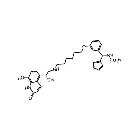 O=C(O)NC(c1ccsc1)c1cccc(OCCCCCCNC[C@H](O)c2ccc(O)c3[nH]c(=O)ccc23)c1